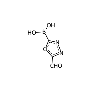 O=Cc1nnc(B(O)O)o1